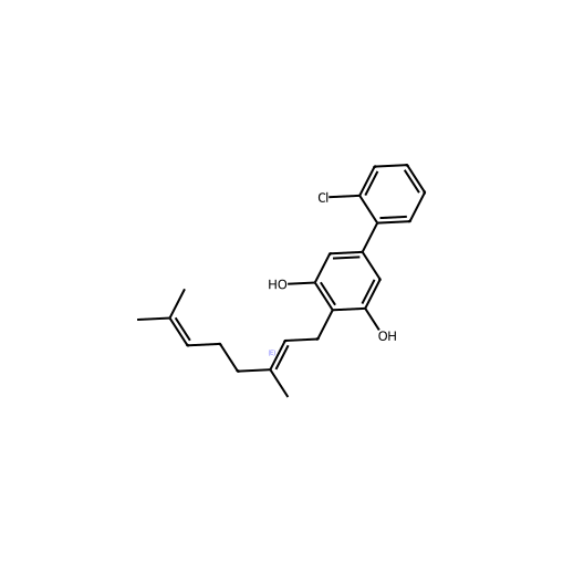 CC(C)=CCC/C(C)=C/Cc1c(O)cc(-c2ccccc2Cl)cc1O